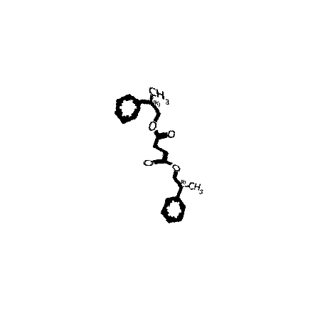 C[C@@H](COC(=O)CCC(=O)OC[C@H](C)c1ccccc1)c1ccccc1